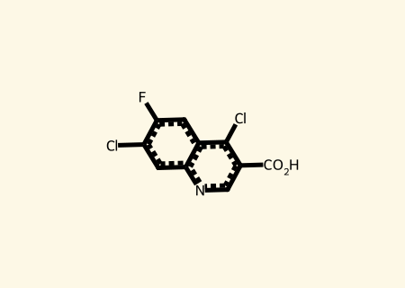 O=C(O)c1cnc2cc(Cl)c(F)cc2c1Cl